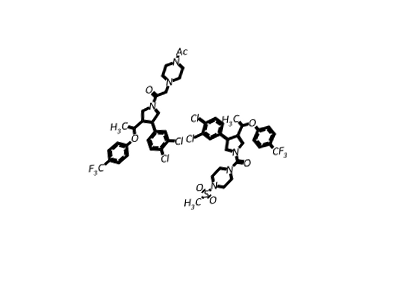 CC(=O)N1CCN(CC(=O)N2CC(c3ccc(Cl)c(Cl)c3)C(C(C)Oc3ccc(C(F)(F)F)cc3)C2)CC1.CC(Oc1ccc(C(F)(F)F)cc1)C1CN(C(=O)N2CCN(S(C)(=O)=O)CC2)CC1c1ccc(Cl)c(Cl)c1